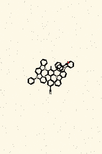 Cc1c(-c2ccc(C#N)cc2)c(-n2c3ccccc3c3ccc4c(c5ccccc5n4-c4ccccc4)c32)c(-c2ccc(C#N)cc2)c(C)c1-n1c2ccccc2c2ccc3c(c21)C1C=CC=CC1N3c1ccccc1